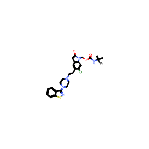 CC(C)C(C)(C)NC(=O)OCN1C(=O)Cc2cc(CCN3CCN(c4nsc5ccccc45)CC3)c(Cl)cc21